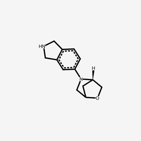 c1cc2c(cc1N1CC3C[C@H]1CO3)CNC2